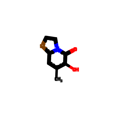 Cc1cc2sccn2c(=O)c1O